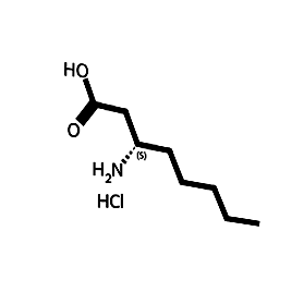 CCCCC[C@H](N)CC(=O)O.Cl